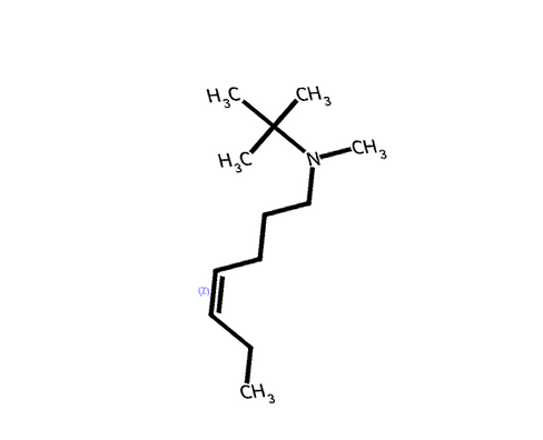 CC/C=C\CCCN(C)C(C)(C)C